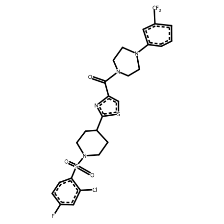 O=C(c1csc(C2CCN(S(=O)(=O)c3ccc(F)cc3Cl)CC2)n1)N1CCN(c2cccc(C(F)(F)F)c2)CC1